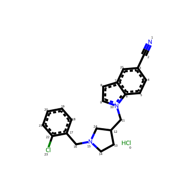 Cl.N#Cc1ccc2c(ccn2CC2CCN(Cc3ccccc3Cl)C2)c1